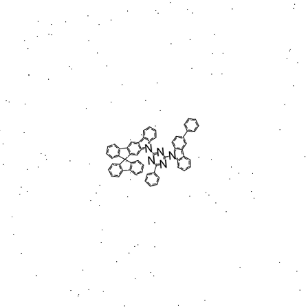 c1ccc(-c2ccc3c(c2)c2ccccc2n3-c2nc(-c3ccccc3)nc(-n3c4ccccc4c4cc5c(cc43)C3(c4ccccc4-c4ccccc43)c3ccccc3-5)n2)cc1